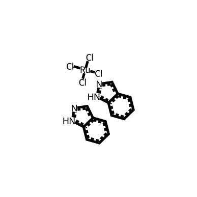 [Cl][Ru]([Cl])([Cl])[Cl].c1ccc2[nH]ncc2c1.c1ccc2[nH]ncc2c1